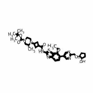 COc1c(-c2cnc(CO[C@H]3CCC[C@@H]3O)nc2)ccc2nc(NC(=O)C3CC(N4CCN(C(=O)OC(C)(C)C)C[C@@H]4C)C3)sc12